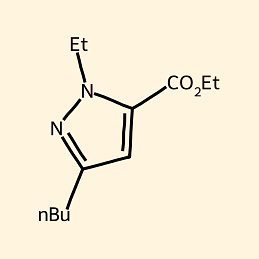 CCCCc1cc(C(=O)OCC)n(CC)n1